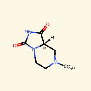 O=C1NC(=O)N2CCN(C(=O)O)C[C@@H]12